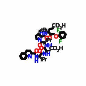 CC(C)[C@H](NC(=O)c1ccc2ccccc2n1)C(=O)N[C@@H](CC(=O)O)C(=O)N[C@H](C(=O)N1CC[C@H](CC(C)(C)C)[C@H]1C(=O)N[C@@H](CCC(=O)O)C(=O)COc1c(F)cccc1F)C(C)C